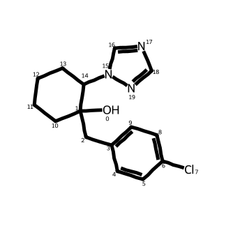 OC1(Cc2ccc(Cl)cc2)CCCCC1n1cncn1